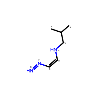 CC(C)CN/C=C\N=N